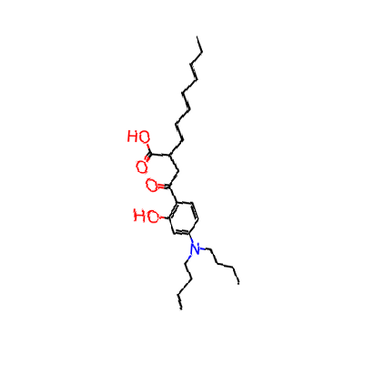 CCCCCCCCC(CC(=O)c1ccc(N(CCCC)CCCC)cc1O)C(=O)O